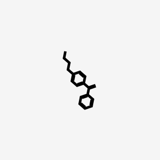 C=C(c1ccccc1)c1ccc(CCCC)cc1